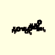 C/C(=N\OCc1ccc(C(F)(F)F)cc1)c1ccc(OC/C(=N/N)N(N)Cc2ccccc2)nc1